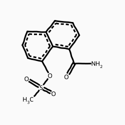 CS(=O)(=O)Oc1cccc2cccc(C(N)=O)c12